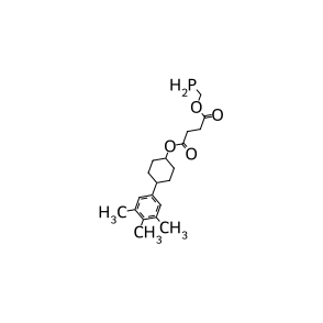 Cc1cc(C2CCC(OC(=O)CCC(=O)OCP)CC2)cc(C)c1C